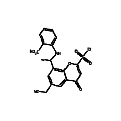 CCS(=O)(=O)c1cc(=O)c2cc(CC#N)cc(C(C)Nc3ccccc3C(=O)O)c2o1